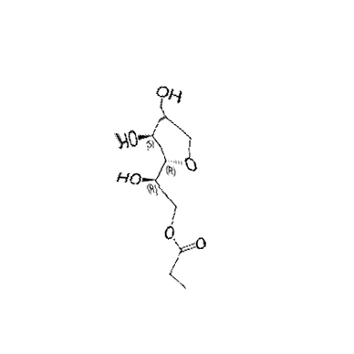 CCC(=O)OC[C@@H](O)[C@H]1OCC(O)[C@@H]1O